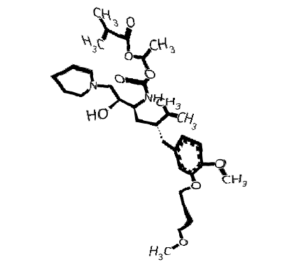 COCCCOc1cc(C[C@H](C[C@H](NC(=O)OC(C)OC(=O)C(C)C)[C@@H](O)CN2CCCCC2)C(C)C)ccc1OC